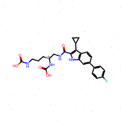 O=C(O)NCCC[C@@H](CNC(=O)c1[nH]c2cc(-c3ccc(F)cc3)ccc2c1C1CC1)NC(=O)O